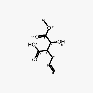 C=CCC(C(=O)O)C(O)C(=O)OC